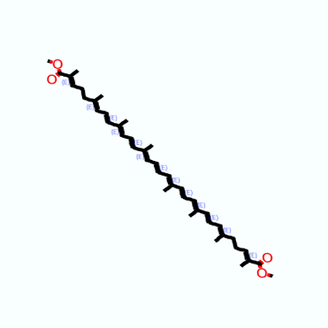 COC(=O)/C(C)=C/CC/C(C)=C/C=C/C(C)=C/C=C/C(C)=C/C=C/C=C(C)/C=C/C=C(C)/C=C/C=C(\C)CC/C=C(\C)C(=O)OC